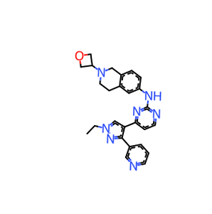 CCn1cc(-c2ccnc(Nc3ccc4c(c3)CCN(C3COC3)C4)n2)c(-c2cccnc2)n1